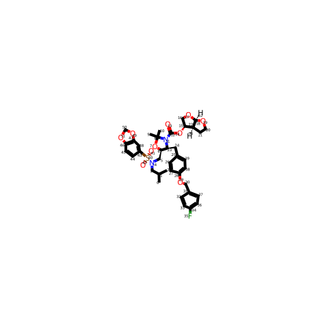 CC(C)CN(C[C@H]1OC(C)(C)N(C(=O)O[C@H]2CO[C@H]3OCC[C@H]32)[C@H]1Cc1ccc(OCc2ccc(F)cc2)cc1)S(=O)(=O)c1ccc2c(c1)OCO2